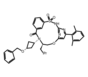 Cc1cccc(C)c1-c1cc2nc(n1)NS(=O)(=O)c1cccc(c1)C(=O)N([C@H]1C[C@@H](OCc3ccccc3)C1)[C@H](CC(C)C)CO2